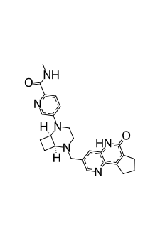 CNC(=O)c1ccc(N2CCN(Cc3cnc4c5c(c(=O)[nH]c4c3)CCC5)[C@H]3CC[C@H]32)cn1